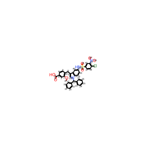 COc1cc(C(=O)O)ccc1Cc1cn(C(c2ccccc2)c2ccccc2)c2ccc(NS(=O)(=O)c3ccc(Cl)c([N+](=O)[O-])c3)cc12